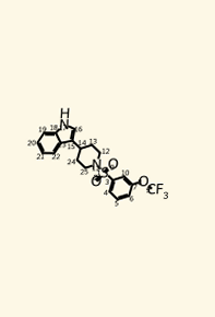 O=S(=O)(c1cccc(OC(F)(F)F)c1)N1CCC(c2c[nH]c3ccccc23)CC1